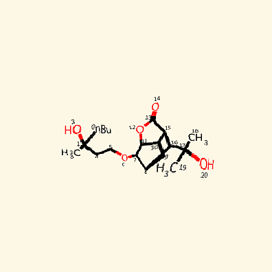 CCCCC(C)(O)CCOC1C2CC3C1OC(=O)C3C2C(C)(C)O